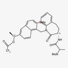 CNC(C)C(=O)N[C@H]1CCc2ccccc2N(Cc2c(OC)ccc3cc([C@H](C)OC(=O)C(F)(F)F)ccc23)C1=O